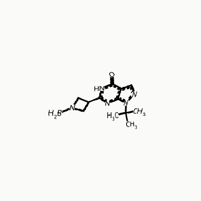 BN1CC(c2nc3c(cnn3C(C)(C)C)c(=O)[nH]2)C1